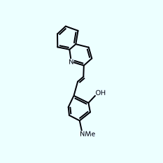 CNc1ccc(C=Cc2ccc3ccccc3n2)c(O)c1